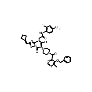 CCc1c(N2CCN(C(=O)c3ncnc(C)c3OCc3ccccc3)CC2)c(=O)n2nc(C=C3CCC3)nc2n1CC(=O)Nc1ccc(C(F)(F)F)cc1Cl